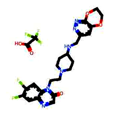 O=C(O)C(F)(F)F.O=c1cnc2cc(F)c(F)cc2n1CCN1CCC(NCc2cc3c(nn2)OCCO3)CC1